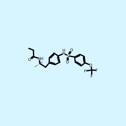 CCC(=O)N[C@@H](C)Cc1ccc(NS(=O)(=O)c2ccc(OC(F)(F)F)cc2)cc1